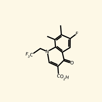 Cc1c(F)cc2c(=O)c(C(=O)O)cn(CC(F)(F)F)c2c1C